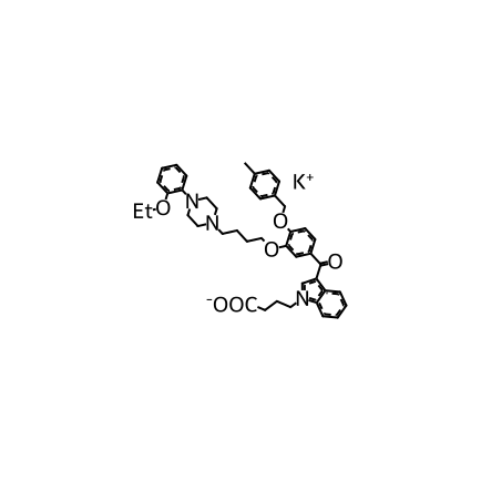 CCOc1ccccc1N1CCN(CCCCOc2cc(C(=O)c3cn(CCCC(=O)[O-])c4ccccc34)ccc2OCc2ccc(C)cc2)CC1.[K+]